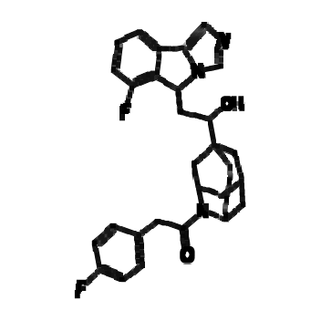 O=C(Cc1ccc(F)cc1)N1C2CC3CC1CC(C(O)CC1c4c(F)cccc4-c4cncn41)(C3)C2